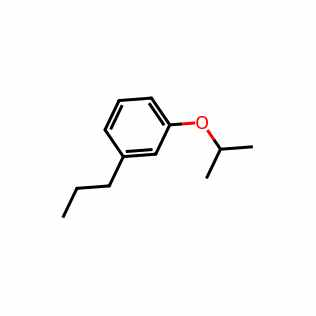 CCCc1cccc(OC(C)C)c1